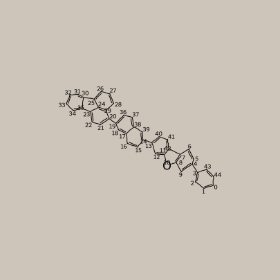 c1ccc(-c2ccc3c(c2)oc2cc(-c4ccc5cc(-c6ccc7c8c(cccc68)-c6ccccc6-7)ccc5c4)ccc23)cc1